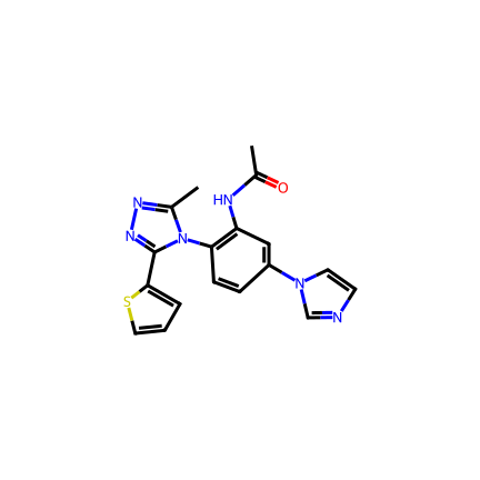 CC(=O)Nc1cc(-n2ccnc2)ccc1-n1c(C)nnc1-c1cccs1